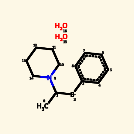 CC([B]c1ccccc1)N1CCCCC1.O.O